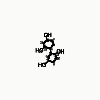 Oc1ccc(-c2cc(O)ccc2O)c(O)c1